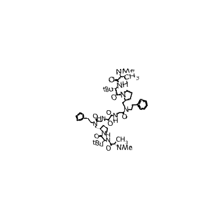 CN[C@@H](C)C(=O)N[C@H](C(=O)N1CCC[C@H]1CN(CCc1ccccc1)C(=O)CNC(=O)C(=O)NCC(=O)N(CCc1ccccc1)C[C@@H]1CCCN1C(=O)[C@@H](NC(=O)[C@H](C)NC)C(C)(C)C)C(C)(C)C